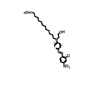 C=C(/C=C\C(=C/C)N(CCO)CCCCCCCCCCCCCCCCCCCCCC)/N=N/c1ccc([N+](=O)[O-])cc1Cl